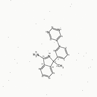 CC1(c2cccc(-c3cncnc3)c2)N=C(N)c2ccccc21